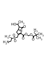 CC(O)C1C(=O)N2C(C(=O)OCOC(=O)C(C)(C)C)=C(CS(=O)(=O)C(C)CN)CC12